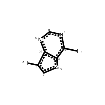 Ic1csc2c(I)ncnc12